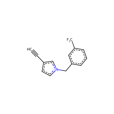 C#Cc1ccn(Cc2cccc(C(F)(F)F)c2)c1